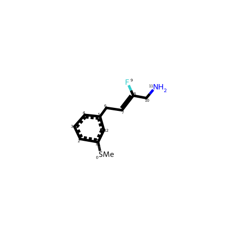 CSc1cccc(C/C=C(\F)CN)c1